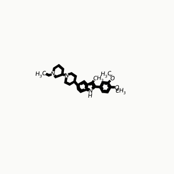 CCN1CCCC(N2CCC(c3ccc4[nH]c(-c5ccc(OC)c(OC)c5)c(C)c4c3)CC2)C1